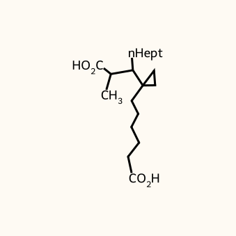 CCCCCCCC(C(C)C(=O)O)C1(CCCCCC(=O)O)CC1